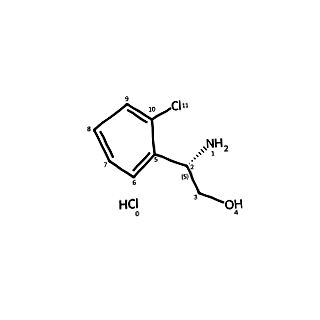 Cl.N[C@H](CO)c1ccccc1Cl